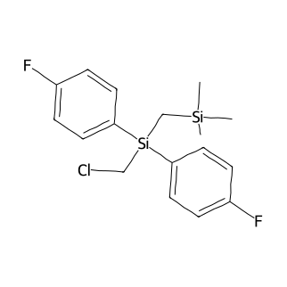 C[Si](C)(C)C[Si](CCl)(c1ccc(F)cc1)c1ccc(F)cc1